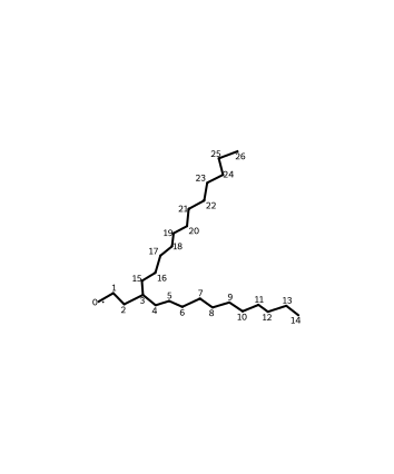 [CH2]CCC(CCCCCCCCCCC)CCCCCCCCCCCC